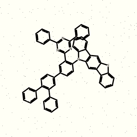 c1ccc(-c2nc(-c3ccccc3)nc(-c3cc(-c4ccc(-c5ccccc5)c(-c5ccccc5)c4)ccc3-n3c4ccccc4c4cc5sc6ccccc6c5cc43)n2)cc1